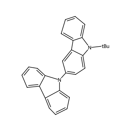 CC(C)(C)n1c2ccccc2c2cc(-n3c4ccccc4c4ccccc43)ccc21